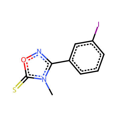 Cn1c(-c2cccc(I)c2)noc1=S